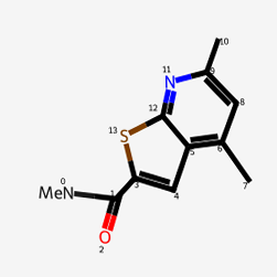 CNC(=O)c1cc2c(C)cc(C)nc2s1